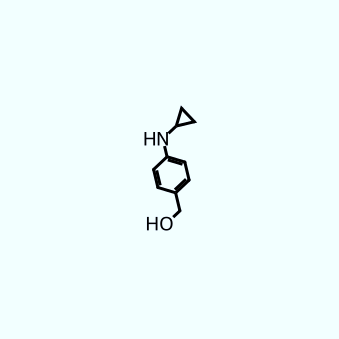 OCc1ccc(NC2CC2)cc1